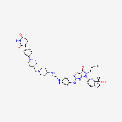 C=CCn1c(=O)c2cnc(Nc3ccc(NCCNC4CCN(CC5CCN(c6ccc(C7CCC(=O)NC7=O)cc6)CC5)CC4)cc3)nc2n1-c1ccc2c(n1)[C@@](O)(CC)CC2